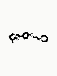 Cc1cccn2cc(-c3ccc(OCCCN4CCCCC4)cc3)nc12